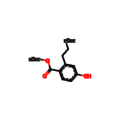 CCCCCCCCCCCCc1cc(O)ccc1C(=O)OCCCCCCCCCC